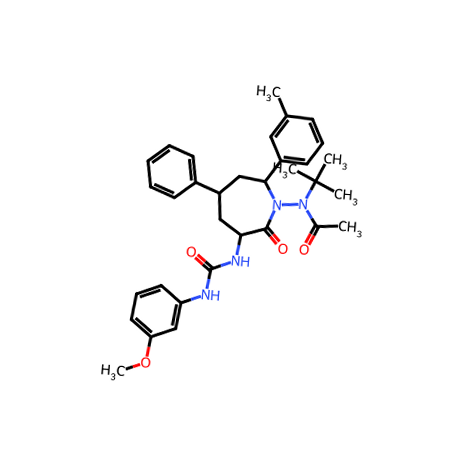 COc1cccc(NC(=O)NC2CC(c3ccccc3)CC(c3cccc(C)c3)N(N(C(C)=O)C(C)(C)C)C2=O)c1